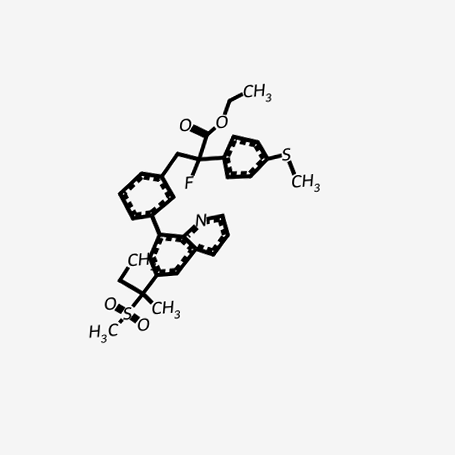 CCOC(=O)C(F)(Cc1cccc(-c2cc(C(C)(CC)S(C)(=O)=O)cc3cccnc23)c1)c1ccc(SC)cc1